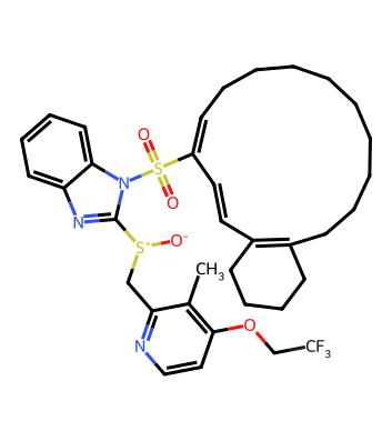 Cc1c(OCC(F)(F)F)ccnc1C[S+]([O-])c1nc2ccccc2n1S(=O)(=O)C1=C/CCCCCCCCCC2=C(\C=C\1)CCCC2